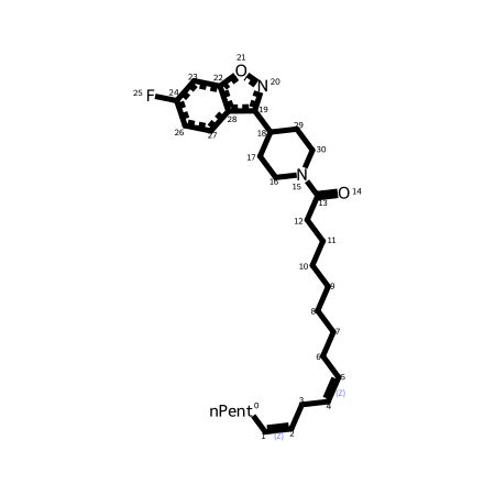 CCCCC/C=C\C/C=C\CCCCCCCC(=O)N1CCC(c2noc3cc(F)ccc23)CC1